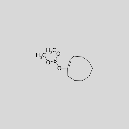 COB(OC)OC1=CCCCCCCCC1